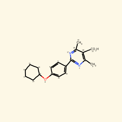 Cc1nc(-c2ccc(OC3CCCCC3)cc2)nc(C)c1C(=O)O